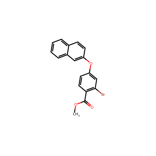 COC(=O)c1ccc(Oc2ccc3ccccc3c2)cc1Br